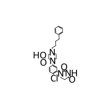 O=C1CCN(c2cc(N3CCN(CCCCc4ccccc4)CC3)ccc2Cl)C(=O)N1.O=CO